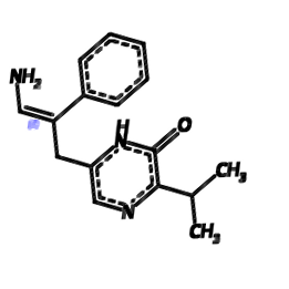 CC(C)c1ncc(C/C(=C/N)c2ccccc2)[nH]c1=O